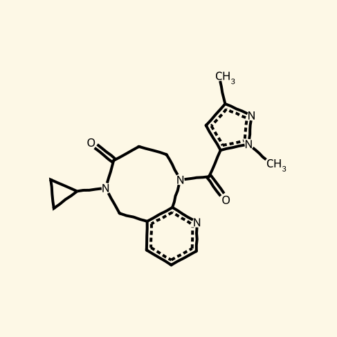 Cc1cc(C(=O)N2CCC(=O)N(C3CC3)Cc3cccnc32)n(C)n1